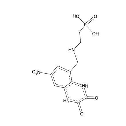 O=c1[nH]c2cc([N+](=O)[O-])cc(CNCCP(=O)(O)O)c2[nH]c1=O